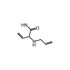 C=CCNC(C=C)C([NH])=O